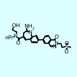 CCCN(CCO)C(=O)C1=Cc2ccc(-c3ccc4c(=O)n(CCS(C)(=O)=O)ncc4c3)cc2N=C(N)C1